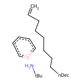 C=CCCCCCCCCCCCCCCCC.CC(C)(C)N.b1ccccc1